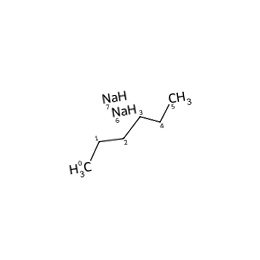 CCCCCC.[NaH].[NaH]